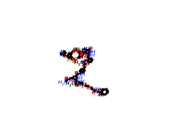 CC(C)[C@H](NC(=O)CCOCCOCCNC(=O)OC[C@@H]1[C@@H]2CCC#CCC[C@@H]21)C(=O)N[C@@H](CCCNC(N)=O)C(=O)Nc1ccc(COC(=O)N(C)Cc2ccccc2C(=O)Nc2nc3c(ncn3[C@@H]3O[C@@H]4CO[P@@](=O)(S)O[C@H]5C[C@H](Oc6ccncn6)C[C@@H]5CO[P@@](=O)(S)O[C@@H]3[C@@H]4O)c(=O)[nH]2)cc1